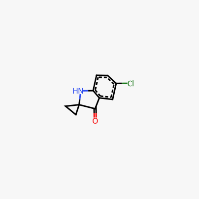 O=C1c2cc(Cl)ccc2NC12CC2